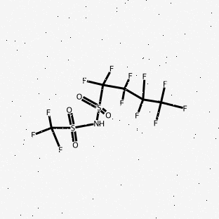 O=S(=O)(NS(=O)(=O)C(F)(F)C(F)(F)C(F)(F)C(F)(F)F)C(F)(F)F